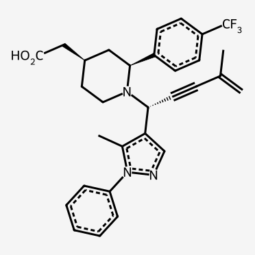 C=C(C)C#C[C@H](c1cnn(-c2ccccc2)c1C)N1CC[C@@H](CC(=O)O)C[C@H]1c1ccc(C(F)(F)F)cc1